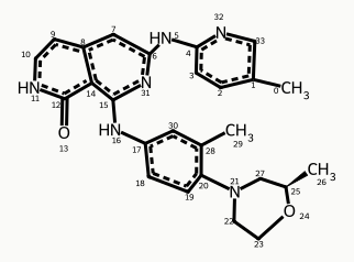 Cc1ccc(Nc2cc3cc[nH]c(=O)c3c(Nc3ccc(N4CCO[C@H](C)C4)c(C)c3)n2)nc1